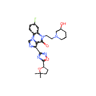 CC1(C)CCC(c2nc(-c3ncn4c3c(=O)n(CCN3CCCC(O)C3)c3cc(F)ccc34)no2)O1